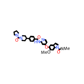 CNC(=O)n1ccc2cc(Oc3ccnc(NC(=O)c4ccc(C5CCN(C(=O)N6CCCC6)CC5)cc4)c3)c(OC)cc21